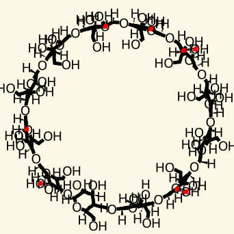 OC[C@H]1O[C@@H]2O[C@H]3[C@H](O)[C@@H](O)[C@@H](O[C@H]4[C@H](O)[C@@H](O)[C@@H](O[C@H]5[C@H](O)[C@@H](O)[C@@H](O[C@H]6[C@H](O)[C@@H](O)[C@@H](O[C@H]7[C@H](O)[C@@H](O)[C@@H](O[C@H]8[C@H](O)[C@@H](O)[C@@H](O[C@H]9[C@H](O)[C@@H](O)[C@@H](O[C@H]%10[C@H](O)[C@@H](O)[C@@H](O[C@H]%11[C@H](O)[C@@H](O)[C@@H](O[C@H]%12[C@H](O)[C@@H](O)[C@@H](O[C@H]%13[C@H](O)[C@@H](O)[C@@H](O[C@H]1[C@H](O)[C@H]2O)O[C@@H]%13CO)O[C@@H]%12CO)O[C@@H]%11CO)O[C@@H]%10CO)O[C@@H]9CO)O[C@@H]8CO)O[C@@H]7CO)O[C@@H]6CO)O[C@@H]5CO)O[C@@H]4CO)O[C@@H]3CO